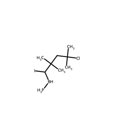 CC(C)(Cl)CC(C)(C)C(I)BP